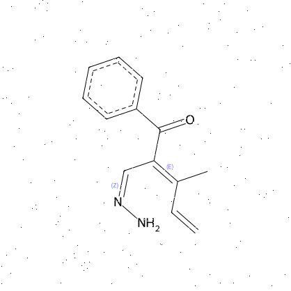 C=C/C(C)=C(\C=N/N)C(=O)c1ccccc1